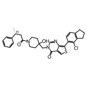 C[C@H](CC(=O)N1CCC(O)(Cn2cnc3c(-c4ccc5c(c4Cl)CC[CH]5)scc3c2=O)CC1)c1ccccc1